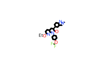 CCOc1ccc2cc(-c3ccc4nn(C)cc4c3)c(=O)n(-c3ccc(OC(F)F)cc3)c2n1